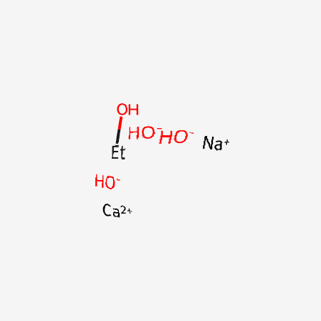 CCO.[Ca+2].[Na+].[OH-].[OH-].[OH-]